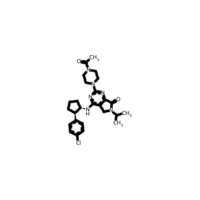 CC(=O)N1CCN(c2nc(N[C@H]3CCC[C@@H]3c3ccc(Cl)cc3)c3c(n2)C(=O)N(C(C)C)C3)CC1